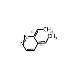 C/C=c1/ccnn/c1=C/C